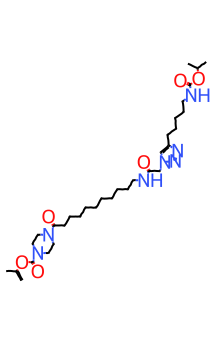 C=C(C)OC(=O)N1CCN(C(=O)CCCCCCCCCCNC(=O)Cn2cc(CCCCCNC(=O)OC(C)C)nn2)CC1